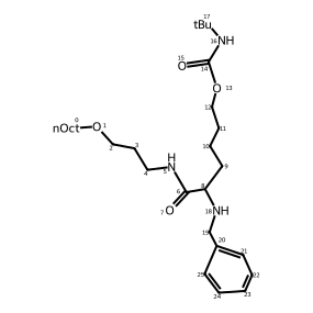 CCCCCCCCOCCCNC(=O)C(CCCCOC(=O)NC(C)(C)C)NCc1ccccc1